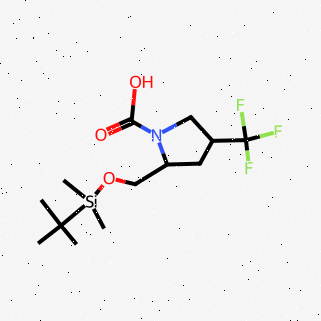 CC(C)(C)[Si](C)(C)OCC1CC(C(F)(F)F)CN1C(=O)O